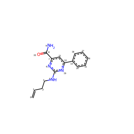 C=CCCNc1nc(C(N)=O)cc(-c2ccccc2)n1